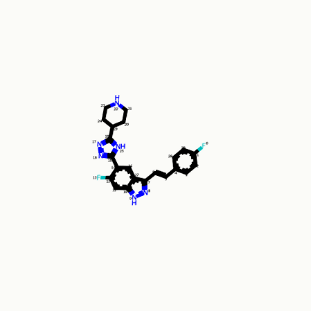 Fc1ccc(C=Cc2n[nH]c3cc(F)c(-c4nnc(C5CCNCC5)[nH]4)cc23)cc1